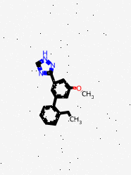 CCc1ccccc1-c1cc(OC)cc(-c2nc[nH]n2)c1